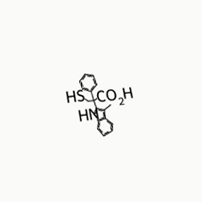 Cc1c(C(CS)(C(=O)O)c2ccccc2)[nH]c2ccccc12